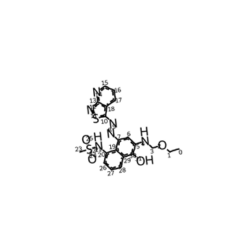 CCOCNc1cc(/N=N/c2snc3ncccc23)c2c(NS(C)(=O)=O)cccc2c1O